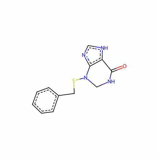 O=C1NCN(SCc2ccccc2)c2nc[nH]c21